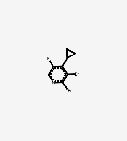 CC(C)c1ncc(F)c(C2CC2)c1Br